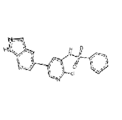 O=S(=O)(Nc1cc(-c2cnc3[nH]ncc3c2)cnc1Cl)c1ccccc1